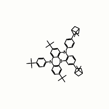 CC(C)(C)c1ccc(N2c3ccc(C(C)(C)C)cc3B3c4cc(C5CC6CC5C6(C)C)ccc4N(c4ccc(C5CC6CC5C6(C)C)cc4)c4cc(C(C)(C)C)cc2c43)cc1